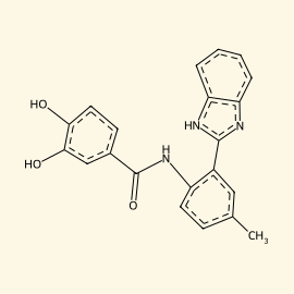 Cc1ccc(NC(=O)c2ccc(O)c(O)c2)c(-c2nc3ccccc3[nH]2)c1